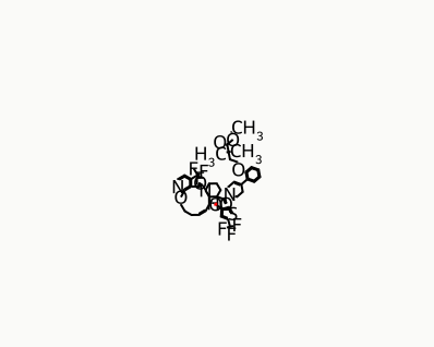 CCOC(=O)C(C)(C)CCOc1ccccc1C1=CCN(C(=O)[C@]2(Oc3csc(C(F)(F)F)c3)CCCN3C(=O)c4c(C(F)(F)F)ccnc4OCCC/C=C\C[C@@H]32)CC1